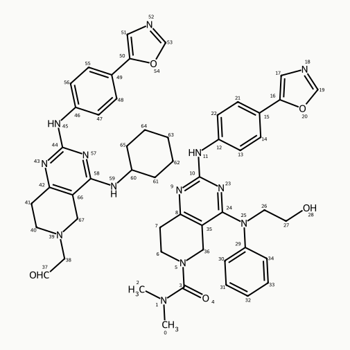 CN(C)C(=O)N1CCc2nc(Nc3ccc(-c4cnco4)cc3)nc(N(CCO)c3ccccc3)c2C1.O=CCN1CCc2nc(Nc3ccc(-c4cnco4)cc3)nc(NC3CCCCC3)c2C1